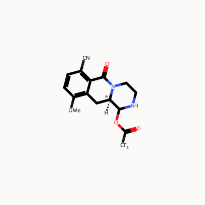 COc1ccc(C#N)c2c1C[C@@H]1C(OC(=O)C(F)(F)F)NCCN1C2=O